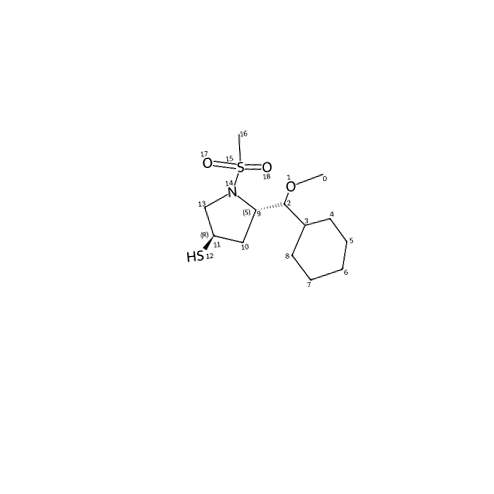 COC(C1CCCCC1)[C@@H]1C[C@@H](S)CN1S(C)(=O)=O